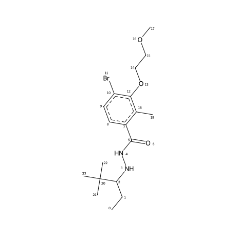 CCC(NNC(=O)c1ccc(Br)c(OCCOC)c1C)C(C)(C)C